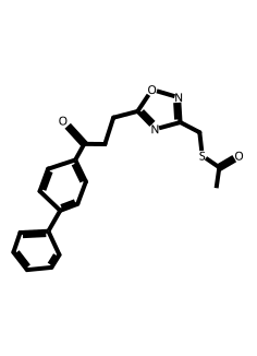 CC(=O)SCc1noc(CCC(=O)c2ccc(-c3ccccc3)cc2)n1